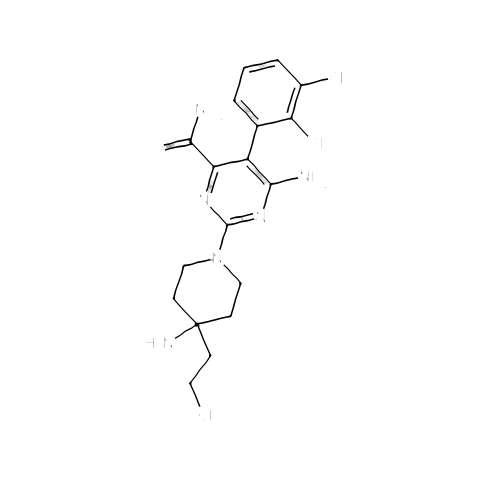 CCCC1(N)CCN(c2nc(N)c(-c3cccc(Cl)c3Cl)c(C(N)=O)n2)CC1